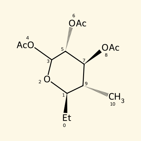 CC[C@H]1OC(OC(C)=O)[C@H](OC(C)=O)[C@@H](OC(C)=O)[C@@H]1C